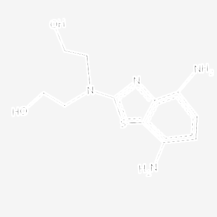 Nc1ccc(N)c2sc(N(CCO)CCO)nc12